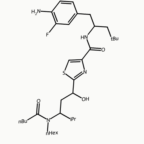 CCCCCCN(C(=O)CCCC)C(CC(O)c1nc(C(=O)NC(Cc2ccc(N)c(F)c2)CC(C)(C)C)cs1)C(C)C